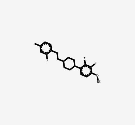 CCOc1ccc(C2CCC(CCc3ccc(C)cc3F)CC2)c(F)c1F